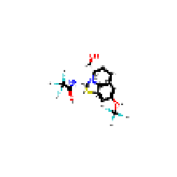 O=C(N[C@H]1Sc2cc(OC(F)(F)F)cc3c2N1[C@H](CO)CC3)C(F)(F)F